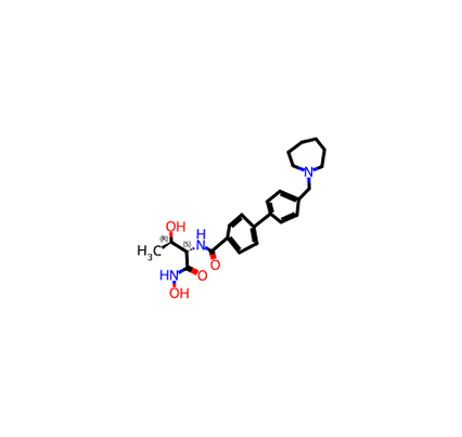 C[C@@H](O)[C@H](NC(=O)c1ccc(-c2ccc(CN3CCCCCC3)cc2)cc1)C(=O)NO